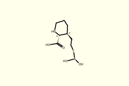 O=C(O)[C@@H]1NCCC[C@H]1CCCB(O)O